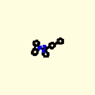 c1ccc(-c2ccc(-c3nc(-n4c5ccccc5c5ccccc54)n4ccccc34)cc2)cc1